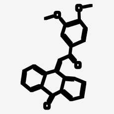 COc1ccc(C(=O)C=C2c3ccccc3C(=O)c3ccccc32)cc1OC